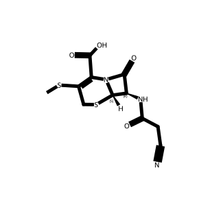 CSC1=C(C(=O)O)N2C(=O)[C@@H](NC(=O)CC#N)[C@@H]2SC1